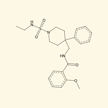 CCNS(=O)(=O)N1CCC(CNC(=O)c2ccccc2OC)(c2ccccc2)CC1